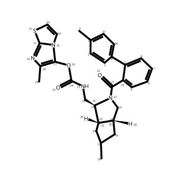 Cc1ccc(-c2ccccc2C(=O)N2C[C@@H]3CC(C)C[C@@H]3[C@H]2CNC(=O)Oc2c(C)nc3sccn23)cc1